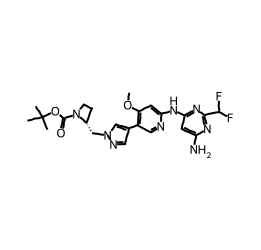 COc1cc(Nc2cc(N)nc(C(F)F)n2)ncc1-c1cnn(C[C@H]2CCN2C(=O)OC(C)(C)C)c1